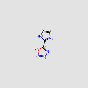 c1c[nH]c(-c2ncno2)n1